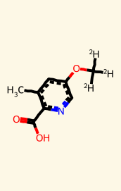 [2H]C([2H])([2H])Oc1cnc(C(=O)O)c(C)c1